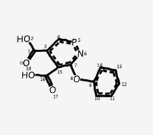 O=C(O)c1cpnc(Oc2ccccc2)c1C(=O)O